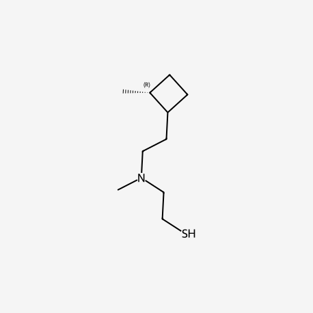 C[C@@H]1CCC1CCN(C)CCS